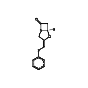 O=C1C[C@H]2OC(=CSc3ccccc3)CN12